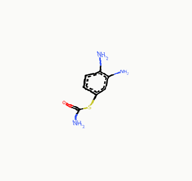 NC(=O)Sc1ccc(N)c(N)c1